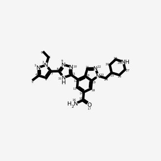 CCn1nc(C)cc1-c1nnc(-c2cc(C(N)=O)cc3c2cnn3CC2CCNCC2)[nH]1